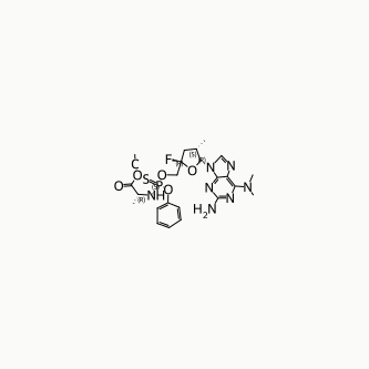 CCOC(=O)[C@@H](C)N[P@](=S)(OC[C@]1(F)C[C@H](C)[C@H](n2cnc3c(N(C)C)nc(N)nc32)O1)Oc1ccccc1